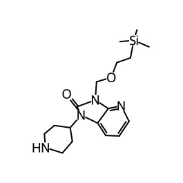 C[Si](C)(C)CCOCn1c(=O)n(C2CCNCC2)c2cccnc21